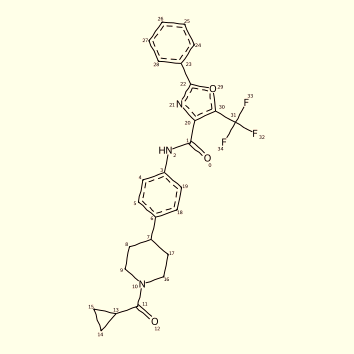 O=C(Nc1ccc(C2CCN(C(=O)C3CC3)CC2)cc1)c1nc(-c2ccccc2)oc1C(F)(F)F